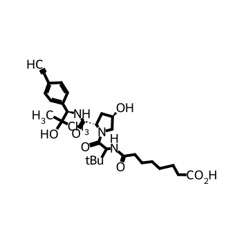 C#Cc1ccc([C@@H](NC(=O)[C@@H]2C[C@@H](O)CN2C(=O)C(NC(=O)CCCCCCC(=O)O)C(C)(C)C)C(C)(C)O)cc1